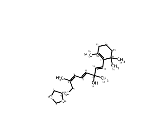 C1COCO1.CCC(C)=CC=CC(C)(O)C=CC1=C(C)CCCC1(C)C